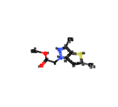 CC(C)(C)OC(=O)Cn1nc(C#N)c2sc(C(F)(F)F)cc21